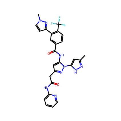 Cc1cc(-n2nc(CC(=O)Nc3ccccn3)cc2NC(=O)c2ccc(C(F)(F)F)c(-c3ccn(C)n3)c2)[nH]n1